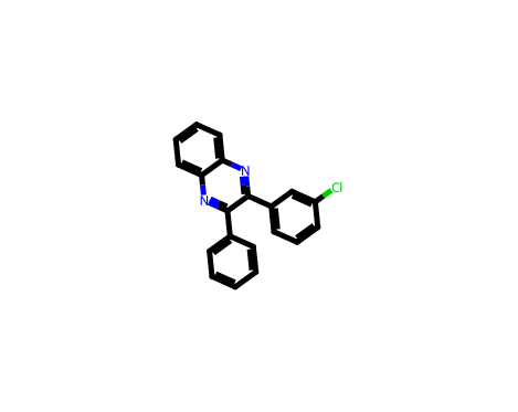 Clc1cccc(-c2nc3ccccc3nc2-c2ccccc2)c1